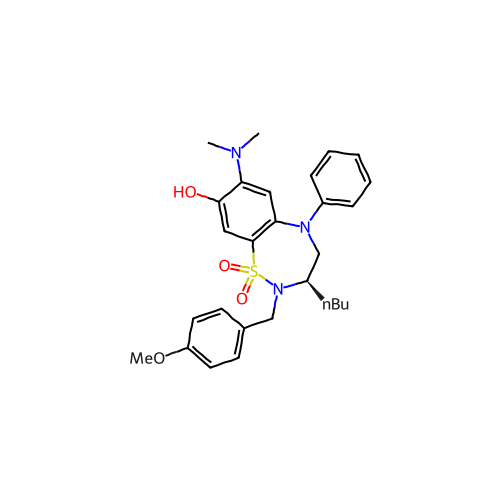 CCCC[C@@H]1CN(c2ccccc2)c2cc(N(C)C)c(O)cc2S(=O)(=O)N1Cc1ccc(OC)cc1